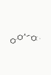 O=C(/C=C/c1ccc2c(c1)OCO2)c1ccc(-c2ccccc2)cc1